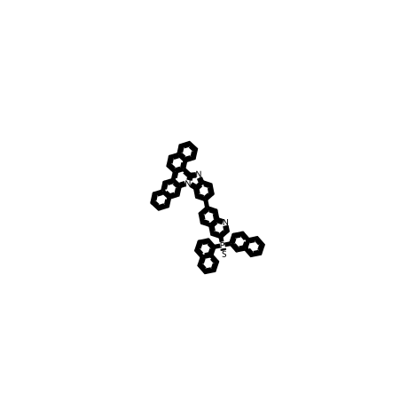 S=P(c1ccc2ccccc2c1)(c1cnc2cc(-c3ccc4nc5c6c7ccccc7ccc6c6cc7ccccc7cc6n5c4c3)ccc2c1)c1cccc2ccccc12